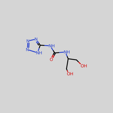 O=C(Nc1nnn[nH]1)NC(CO)CO